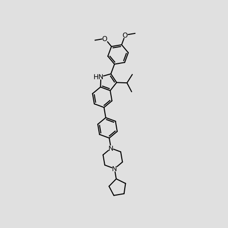 COc1ccc(-c2[nH]c3ccc(-c4ccc(N5CCN(C6CCCC6)CC5)cc4)cc3c2C(C)C)cc1OC